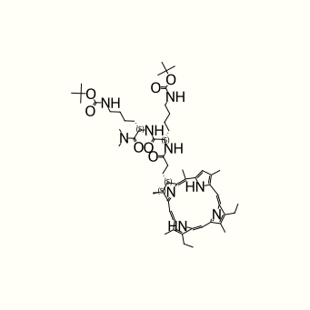 CCC1=C(C)c2cc3[nH]c(cc4nc(c(C)c5cc(C)c(cc1n2)[nH]5)[C@@H](CCC(=O)N[C@@H](CCCCNC(=O)OC(C)(C)C)C(=O)N[C@@H](CCCCNC(=O)OC(C)(C)C)C(=O)N(C)C)[C@@H]4C)c(C)c3CC